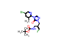 Cc1cc(Br)cnc1-n1cnn(C/C(=C/F)CNC(=O)OC(C)(C)C)c1=O